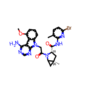 COc1cccc2c1c1c(N)ncnc1n2CC(=O)N1C2C[C@]2(C)C[C@H]1C(=O)Nc1nc(Br)ccc1C